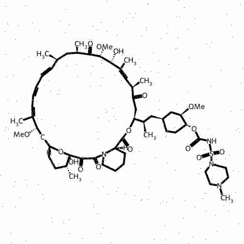 CO[C@H]1C[C@@H]2CC[C@@H](C)[C@@](O)(O2)C(=O)C(=O)N2CCCC[C@H]2C(=O)O[C@H]([C@H](C)C[C@@H]2CC[C@@H](OC(=O)NS(=O)(=O)N3CCN(C)CC3)[C@H](OC)C2)CC(=O)[C@H](C)/C=C(\C)[C@@H](O)[C@@H](OC)C(=O)[C@H](C)C[C@H](C)/C=C/C=C/C=C/1C